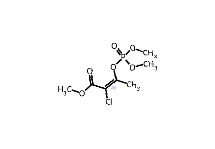 COC(=O)/C(Cl)=C(/C)OP(=O)(OC)OC